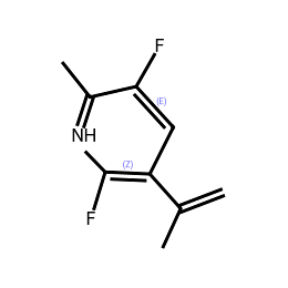 C=C(C)C(/C=C(/F)C(C)=N)=C(/C)F